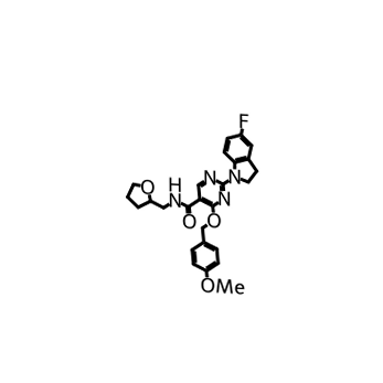 COc1ccc(COc2nc(N3CCc4cc(F)ccc43)ncc2C(=O)NCC2CCCO2)cc1